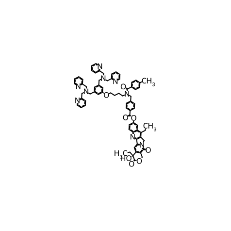 CCc1c2c(nc3ccc(OC(=O)c4ccc(CN(CCCCOc5cc(CN(Cc6ccccn6)Cc6ccccn6)cc(CN(Cc6ccccn6)Cc6ccccn6)c5)C(=O)c5ccc(C)cc5)cc4)cc13)-c1cc3c(c(=O)n1C2)COC(=O)[C@]3(O)CC